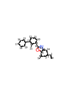 C=Cc1cc(C)c2oc(-c3cccc(-c4ccccc4)c3C)nc2c1